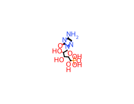 Nc1cnn([C@@H]2O[C@H]([C@H](O)P(=O)(O)O)[C@@H](O)[C@H]2O)c(=O)n1